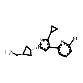 CCc1cccc(-c2cn([C@H]3C[C@H](CN)C3)nc2C2CC2)n1